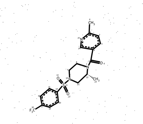 Cc1ccc(C(=O)N2CCN(S(=O)(=O)c3ccc(C(F)(F)F)cc3)C[C@H]2C)cn1